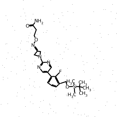 CC(C)(C)[Si](C)(C)OCc1cccc(-c2cnc(N3CC(=NOCCC(N)=O)C3)nc2)c1F